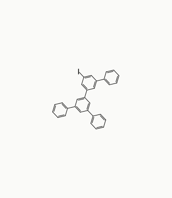 Ic1cc(-c2ccccc2)cc(-c2cc(-c3ccccc3)cc(-c3ccccc3)c2)c1